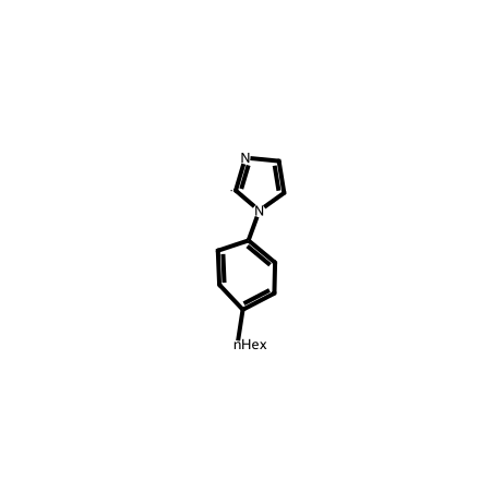 CCCCCCc1ccc(-n2[c]ncc2)cc1